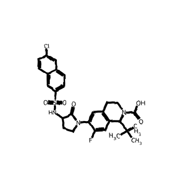 CC(C)(C)C1c2cc(F)c(N3CCC(NS(=O)(=O)c4ccc5cc(Cl)ccc5c4)C3=O)cc2CCN1C(=O)O